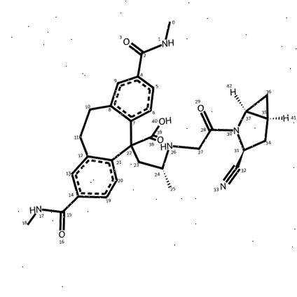 CNC(=O)c1ccc2c(c1)CCc1cc(C(=O)NC)ccc1C2(C[C@@H](C)NCC(=O)N1[C@H](C#N)C[C@@H]2C[C@@H]21)C(=O)O